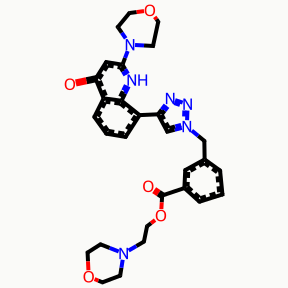 O=C(OCCN1CCOCC1)c1cccc(Cn2cc(-c3cccc4c(=O)cc(N5CCOCC5)[nH]c34)nn2)c1